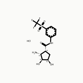 Cl.N[C@H]1[C@H](O)[C@H](O)C[C@H]1C(=O)Nc1cccc(S(=O)(=O)C(F)(F)F)c1